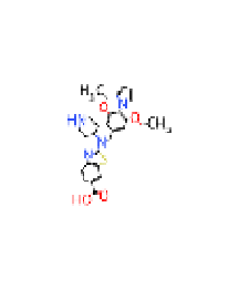 CCOc1cc(CN(c2nc3ccc(C(=O)O)cc3s2)C2CCNCC2)cc(OCC)c1-n1cccc1